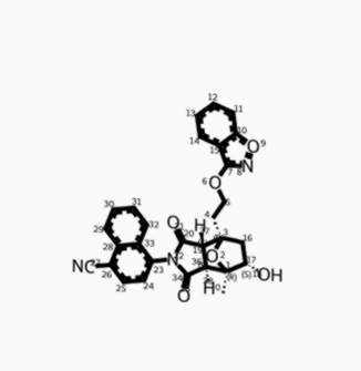 C[C@]12O[C@](CCOc3noc4ccccc34)(C[C@@H]1O)[C@H]1C(=O)N(c3ccc(C#N)c4ccccc34)C(=O)[C@@H]12